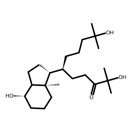 CC(C)(O)CCC[C@@H](CCC(=O)C(C)(C)O)[C@H]1CCC2[C@@H](O)CCC[C@@]21C